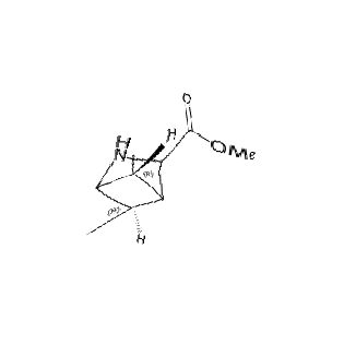 COC(=O)C1NC2[C@H](C)C1[C@H]2C